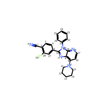 N#Cc1ccc(-c2nc3c(N4CCCCC4)ccnc3n2-c2ccccc2)cc1F